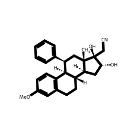 COc1ccc2c(c1)CC[C@@H]1[C@@H]2[C@@H](c2ccccc2)C[C@@]2(C)[C@H]1C[C@@H](O)[C@@]2(O)CC#N